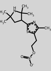 Cc1nc(C2CC(C)(C)NC2(C)C)sc1CCO[N+](=O)[O-]